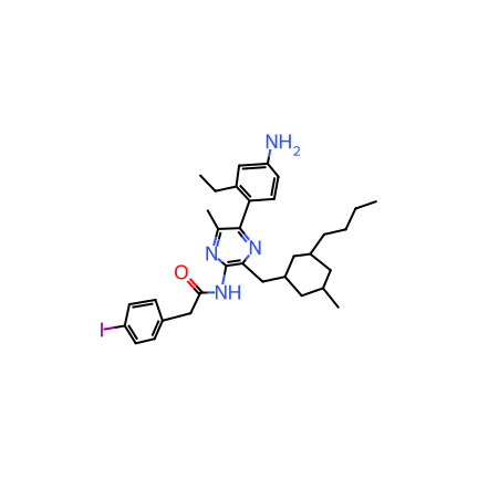 CCCCC1CC(C)CC(Cc2nc(-c3ccc(N)cc3CC)c(C)nc2NC(=O)Cc2ccc(I)cc2)C1